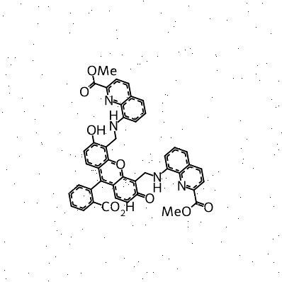 COC(=O)c1ccc2cccc(NCc3c4oc5c(CNc6cccc7ccc(C(=O)OC)nc67)c(O)ccc5c(-c5ccccc5C(=O)O)c-4ccc3=O)c2n1